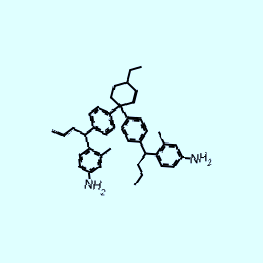 CCCC(c1ccc(C2(c3ccc(C(CCC)c4ccc(N)cc4C)cc3)CCC(CC)CC2)cc1)c1ccc(N)cc1C